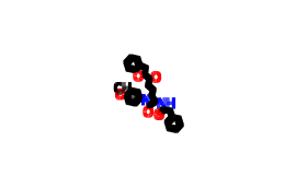 COc1ccc(N2C(=O)C(NC(=O)Cc3ccccc3)C2CCC(=O)C2Cc3ccccc3O2)cc1